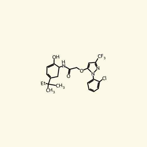 CCC(C)(C)C1=CC=C(O)C(NC(=O)COc2cc(C(F)(F)F)nn2-c2ccccc2Cl)C1